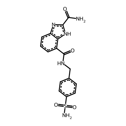 NC(=O)c1nc2cccc(C(=O)NCc3ccc(S(N)(=O)=O)cc3)c2[nH]1